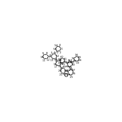 c1ccc(-c2cc(-c3ccccc3)cc(-c3ccc(-c4ccc5oc6cccc(-c7cc(-c8ccccc8)nc(-c8ccccc8)c7)c6c5c4)cc3)c2)cc1